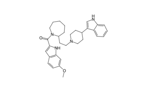 COc1ccc2cc(C(=O)N3CCCCCC3CCN3CCC(c4c[nH]c5ccccc45)CC3)[nH]c2c1